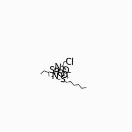 CCCCCC[S+]([O-])CN(C)P(=O)(SC(C)CC)N(C)C(=O)CCl